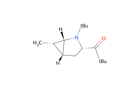 C[C@H]1[C@H]2C[C@@H](C(=O)C(C)(C)C)N(C(C)(C)C)[C@@H]12